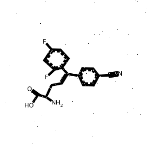 N#Cc1ccc(/C(=C/CC(N)C(=O)O)c2ccc(F)cc2F)cc1